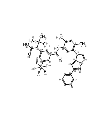 Cc1cc(C)c(-n2ccn3nc(-c4cccnc4)cc23)cc1NC(=O)c1cc(C(C(=O)O)C(C)(C)C)cc(S(F)(F)(F)(F)F)c1